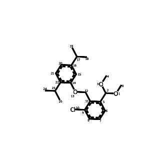 COC(OC)c1cccc(Cl)c1COc1cc(C(C)C)ccc1C(C)C